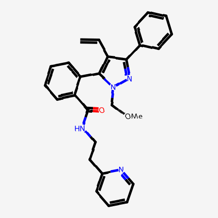 C=Cc1c(-c2ccccc2)nn(COC)c1-c1ccccc1C(=O)NCCc1ccccn1